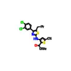 COC(=O)c1sc(C#N)cc1Nc1nc(-c2ccc(Cl)c(Cl)c2)c(CC(C)C)s1